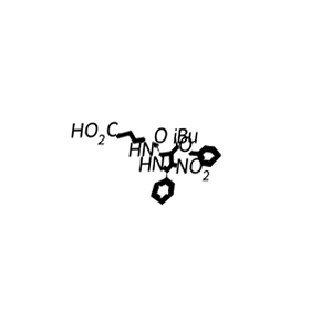 CC[C@H](C)C(OCc1ccccc1)C1C([N+](=O)[O-])[C@H](c2ccccc2)N[C@@H]1C(=O)NCCCCC(=O)O